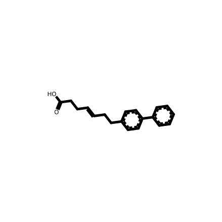 O=C(O)CC/C=C/CCc1ccc(-c2ccccc2)cc1